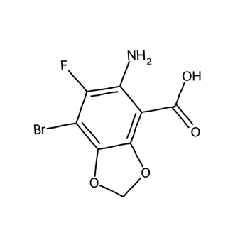 Nc1c(F)c(Br)c2c(c1C(=O)O)OCO2